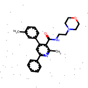 Cc1cccc(-c2cc(-c3ccccc3)nc(C)c2C(=O)NCCN2CCOCC2)c1